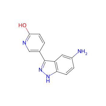 Nc1ccc2[nH]nc(-c3ccc(O)nc3)c2c1